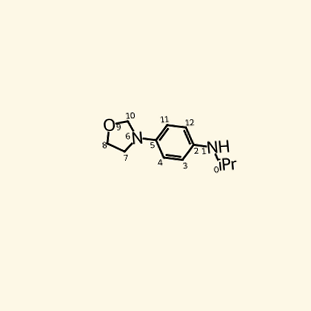 CC(C)Nc1ccc(N2CCOC2)cc1